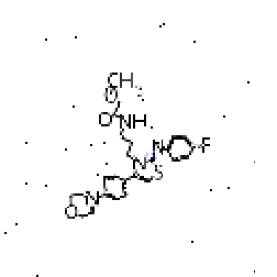 COCC(=O)NCCCn1c(-c2ccc(N3CCOCC3)cc2)cs/c1=N\c1ccc(F)cc1